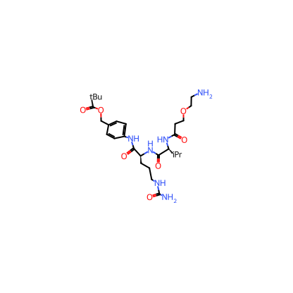 CC(C)[C@H](NC(=O)CCOCCN)C(=O)N[C@@H](CCCNC(N)=O)C(=O)Nc1ccc(COC(=O)C(C)(C)C)cc1